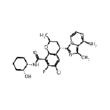 Cc1nc([C@H]2CC(C)Oc3c2cc(Cl)c(F)c3C(=O)N[C@H]2CCCC[C@H]2O)n2ccnc(N)c12